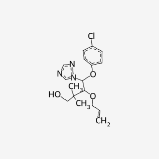 C=CCOC(C(Oc1ccc(Cl)cc1)n1cncn1)C(C)(C)CO